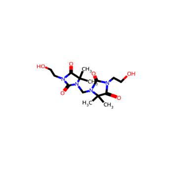 CC1(C)C(=O)N(CCO)C(=O)N1CN1C(=O)N(CCO)C(=O)C1(C)C